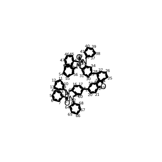 O=P1(c2ccccc2)N(c2ccccc2)c2ccc(-c3ccc4oc5cccc(-c6ccc7c(c6)N(c6ccccc6)P(=O)(c6ccccc6)N7c6ccccc6)c5c4c3)cc2N1c1ccccc1